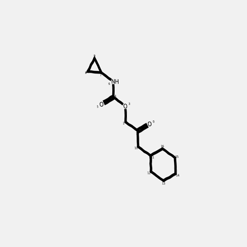 O=C(COC(=O)NC1CC1)CC1CCCCC1